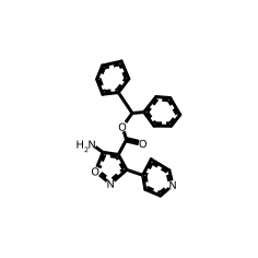 Nc1onc(-c2ccncc2)c1C(=O)OC(c1ccccc1)c1ccccc1